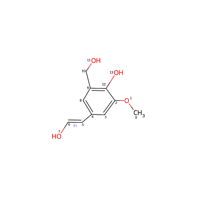 COc1cc(/C=C/O)cc(CO)c1O